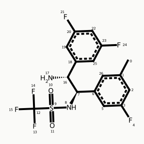 Cc1cc(F)cc([C@@H](NS(=O)(=O)C(F)(F)F)[C@H](N)c2cc(F)cc(F)c2)c1